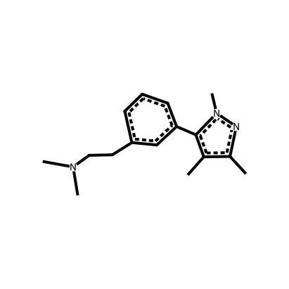 Cc1nn(C)c(-c2cccc(CCN(C)C)c2)c1C